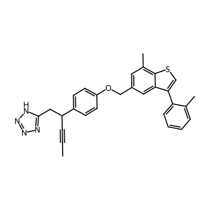 CC#CC(Cc1nnn[nH]1)c1ccc(OCc2cc(C)c3scc(-c4ccccc4C)c3c2)cc1